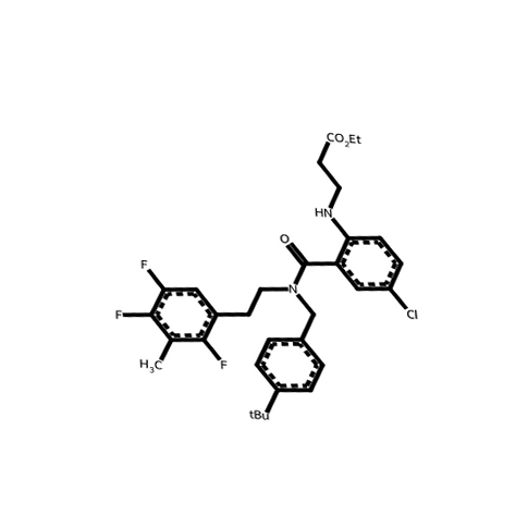 CCOC(=O)CCNc1ccc(Cl)cc1C(=O)N(CCc1cc(F)c(F)c(C)c1F)Cc1ccc(C(C)(C)C)cc1